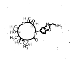 CC1CCCC2(C)O[C@H]2C[C@@H](c2ccc3oc(CN)nc3c2)OC(=O)C[C@H](O)C(C)(C)C(=O)[C@H](C)[C@H]1O